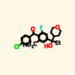 CCC(O)(c1cc(F)c(C(=O)c2ccc(Cl)cc2)c(C(=O)O)c1)C1CCOCC1